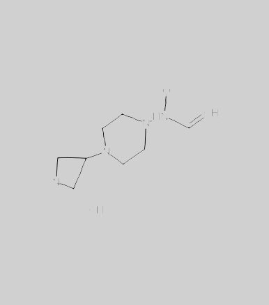 C=C[NH+]([O-])N1CCN(C2CN[C@H]2C)CC1